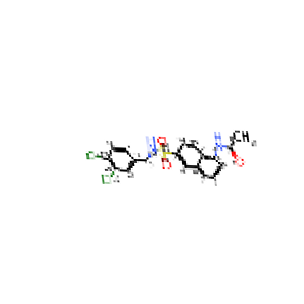 CC(=O)Nc1cccc2cc(S(=O)(=O)NCc3ccc(Cl)c(Cl)c3)ccc12